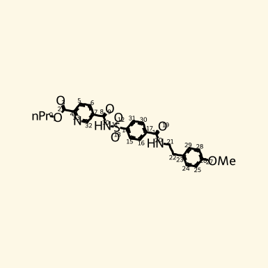 CCCOC(=O)c1ccc(C(=O)NS(=O)(=O)c2ccc(C(=O)NCCc3ccc(OC)cc3)cc2)cn1